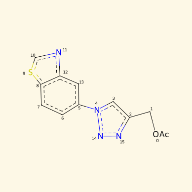 CC(=O)OCc1cn(-c2ccc3scnc3c2)nn1